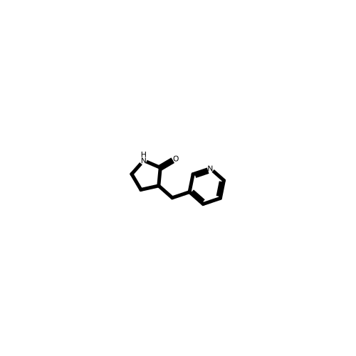 O=C1NCCC1Cc1cccnc1